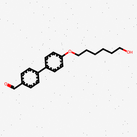 O=Cc1ccc(-c2ccc(OCCCCCCO)cc2)cc1